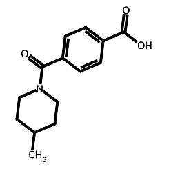 CC1CCN(C(=O)c2ccc(C(=O)O)cc2)CC1